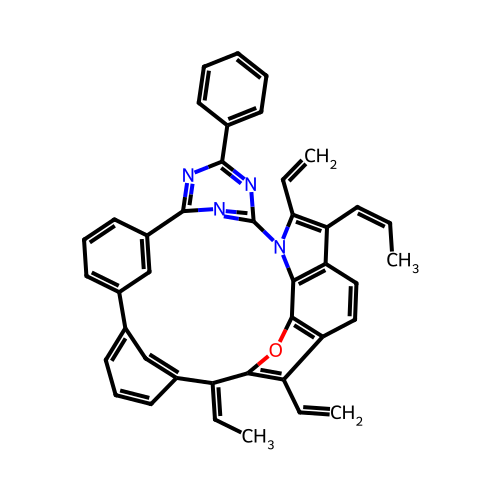 C=Cc1c2oc3c1ccc1c(/C=C\C)c(C=C)n(c4nc(-c5ccccc5)nc(n4)c4cccc(c4)c4cccc(c4)/c2=C/C)c13